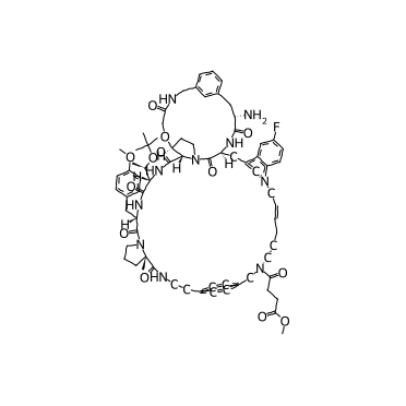 COC(=O)CCC(=O)N1CCC/C=C/Cn2cc(c3cc(F)ccc32)C[C@@H]2NC(=O)[C@@H](N)Cc3cccc(c3)CNC(=O)CO[C@H]3CCN(C2=O)[C@@H]3C(=O)N[C@@H]([C@@H](C)OC(C)(C)C)C(=O)N[C@@H](Cc2ccc(OC)cc2)C(=O)N2CCC[C@@]2(C)C(=O)NCCc2ccc(cc2)C1